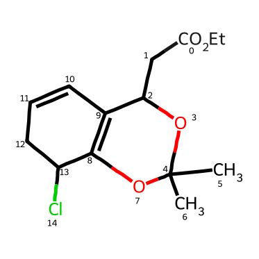 CCOC(=O)CC1OC(C)(C)OC2=C1C=CCC2Cl